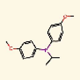 COc1ccc(P(c2ccc(OC)cc2)C(C)C)cc1